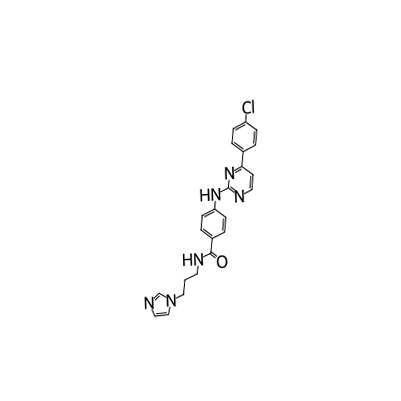 O=C(NCCCn1ccnc1)c1ccc(Nc2nccc(-c3ccc(Cl)cc3)n2)cc1